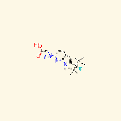 Cn1c([Si](F)(C(C)(C)C)C(C)(C)C)cc2ccc(NCC(=O)O)nc21